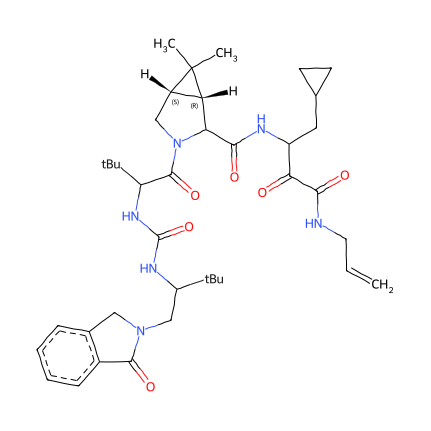 C=CCNC(=O)C(=O)C(CC1CC1)NC(=O)C1[C@@H]2[C@H](CN1C(=O)C(NC(=O)NC(CN1Cc3ccccc3C1=O)C(C)(C)C)C(C)(C)C)C2(C)C